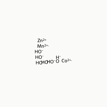 [Co+2].[Mn+2].[OH-].[OH-].[OH-].[OH-].[OH-].[OH-].[Zn+2]